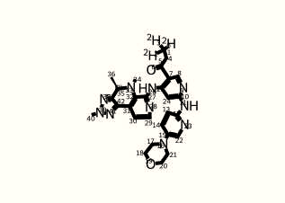 [2H]C([2H])([2H])CC(=O)c1cnc(Nc2ccc(N3CCOCC3)cn2)cc1Nc1nccc2c1N(C)[C@H](C)c1nn(C)nc1-2